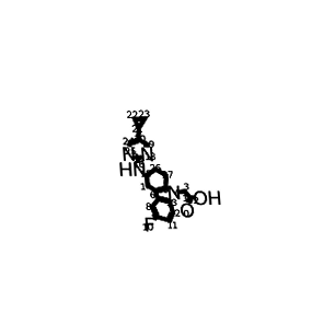 O=C(O)Cn1c2c(c3cc(F)ccc31)CC(Nc1ncc(C3CC3)cn1)CC2